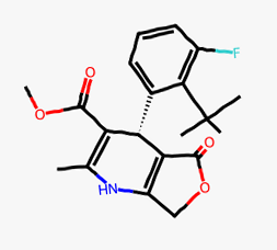 COC(=O)C1=C(C)NC2=C(C(=O)OC2)[C@H]1c1cccc(F)c1C(C)(C)C